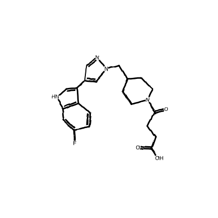 O=C(O)CCC(=O)N1CCC(Cn2cc(-c3c[nH]c4cc(F)ccc34)cn2)CC1